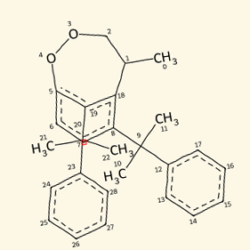 CC1COOc2ccc(C(C)(C)c3ccccc3)c1c2C(C)(C)c1ccccc1